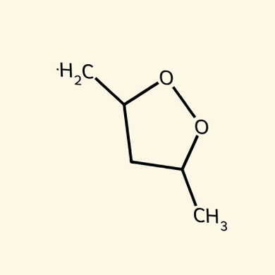 [CH2]C1CC(C)OO1